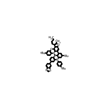 C=C/C=C\c1c(C)oc2cc3c4c(c12)Oc1cc(C(C)(C)C)ccc1N4B1c2ccc(-c4ccc5ncsc5c4)cc2N(c2ccc(C(C)(C)C)cc2)c2cc(C(C)(C)C)cc-3c21